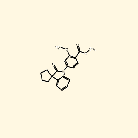 COC(=O)c1ccc(NC(=O)C2(c3ccccc3)CCCC2)cc1OC